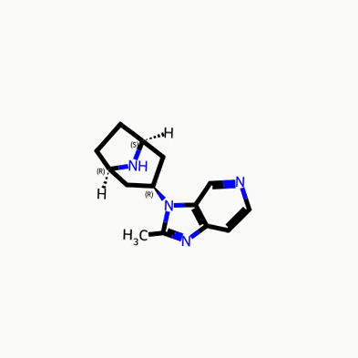 Cc1nc2ccncc2n1[C@H]1C[C@H]2CC[C@@H](C1)N2